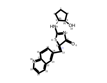 O=C1N=C(N[C@@H]2CCC[C@H]2O)S/C1=C\c1ccc2ncccc2c1